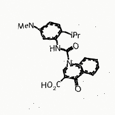 CNc1ccc(C(C)C)c(NC(=O)n2cc(C(=O)O)c(=O)c3ccccc32)c1